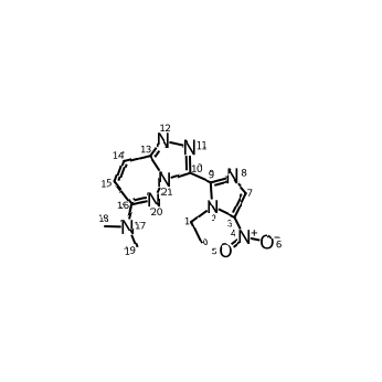 CCn1c([N+](=O)[O-])cnc1-c1nnc2ccc(N(C)C)nn12